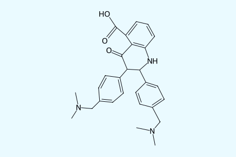 CN(C)Cc1ccc(C2Nc3cccc(C(=O)O)c3C(=O)C2c2ccc(CN(C)C)cc2)cc1